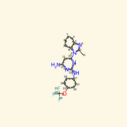 Cc1nc2ccccc2n1-c1cc(N)nc(Nc2ccc(OC(F)(F)F)cc2)n1